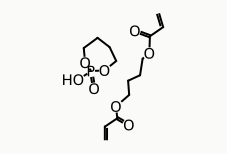 C=CC(=O)OCCCCOC(=O)C=C.O=P1(O)OCCCCO1